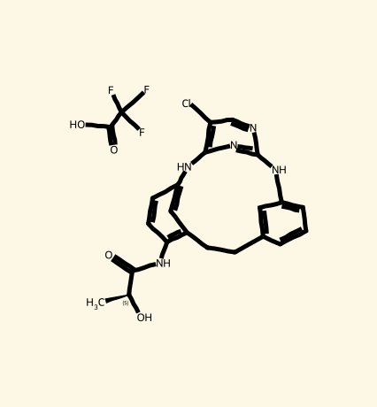 C[C@H](O)C(=O)Nc1ccc2cc1CCc1cccc(c1)Nc1ncc(Cl)c(n1)N2.O=C(O)C(F)(F)F